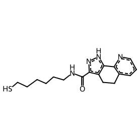 O=C(NCCCCCCS)c1n[nH]c2c1CCc1cccnc1-2